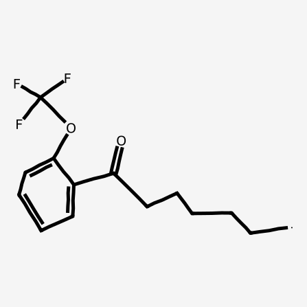 [CH2]CCCCCC(=O)c1ccccc1OC(F)(F)F